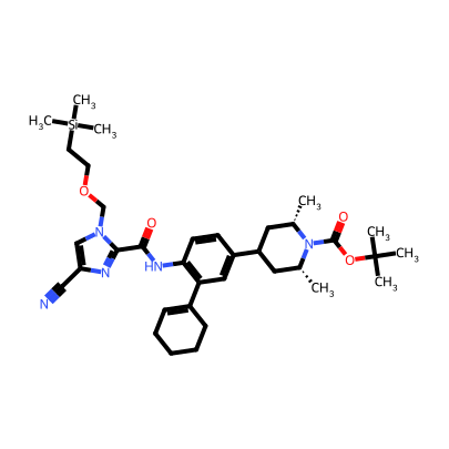 C[C@@H]1CC(c2ccc(NC(=O)c3nc(C#N)cn3COCC[Si](C)(C)C)c(C3=CCCCC3)c2)C[C@H](C)N1C(=O)OC(C)(C)C